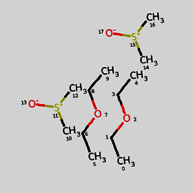 CCOCC.CCOCC.C[S+](C)[O-].C[S+](C)[O-]